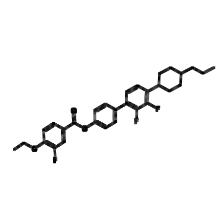 CCCC1CCC(c2ccc(-c3ccc(OC(=O)c4ccc(OCC)c(F)c4)cc3)c(F)c2F)CC1